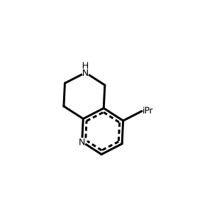 CC(C)c1ccnc2c1CNCC2